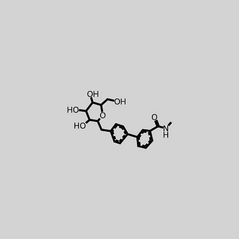 CNC(=O)c1cccc(-c2ccc(CC3OC(CO)C(O)C(O)C3O)cc2)c1